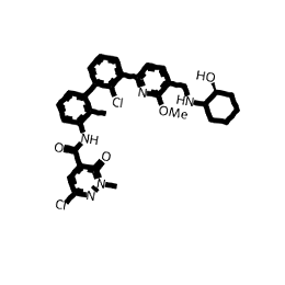 COc1nc(-c2cccc(-c3cccc(NC(=O)c4cc(Cl)nn(C)c4=O)c3C)c2Cl)ccc1CNC1CCCC[C@@H]1O